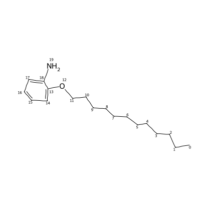 CCCCCCCCCCCCOc1ccccc1N